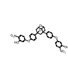 O=[N+]([O-])c1ccc(Oc2ccc(C34CC5CC(c6ccc(Oc7ccc([N+](=O)[O-])c(O)c7)cc6)(C3)OC(C4)O5)cc2)cc1O